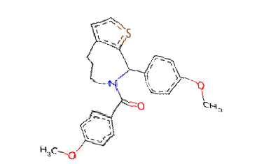 COc1ccc(C(=O)N2CCc3ccsc3C2c2ccc(OC)cc2)cc1